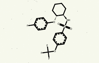 O=S(=O)(N[C@@H]1CCCC[C@H]1Oc1ccc(F)cc1)c1ccc(OC(F)(F)F)cc1